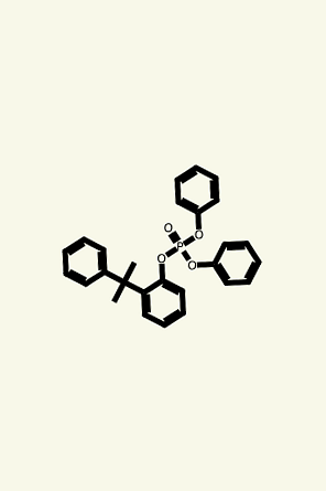 CC(C)(c1ccccc1)c1ccccc1OP(=O)(Oc1ccccc1)Oc1ccccc1